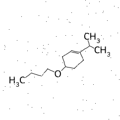 CCCCOC1CC=C(C(C)C)CC1